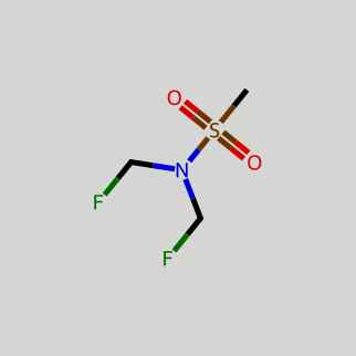 CS(=O)(=O)N(CF)CF